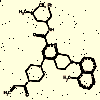 C=CC(=O)N1CCN(c2cc(C(=O)NC(CC(C)C)CN(C)C)nc3c2CCN(c2cccc4cccc(C)c24)C3)CC1